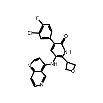 O=c1[nH]c(C2COC2)c(Nc2ccnc3ccncc23)cc1-c1ccc(F)c(Cl)c1